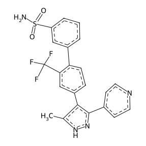 Cc1[nH]nc(-c2ccncc2)c1-c1ccc(-c2cccc(S(N)(=O)=O)c2)c(C(F)(F)F)c1